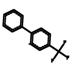 FC(F)(F)c1c[c]c(-c2ccccc2)cc1